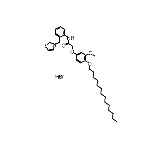 Br.CCCCCCCCCCCCCCOc1ccc(OCC(=O)Nc2ccccc2CN2C=CSC2)cc1OC